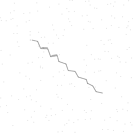 [CH2]CC=CC=CCCCCCCCCCC